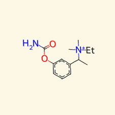 CC[N+](C)(C)C(C)c1cccc(OC(N)=O)c1